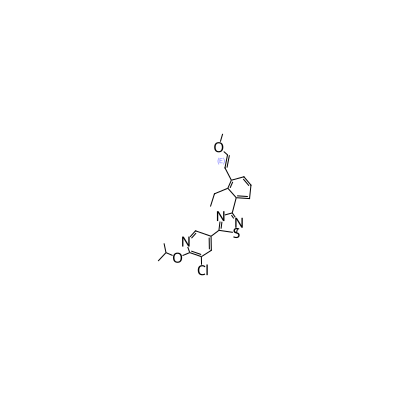 CCc1c(/C=C/OC)cccc1-c1nsc(-c2cnc(OC(C)C)c(Cl)c2)n1